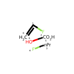 C=CF.CCCF.O=C(O)O